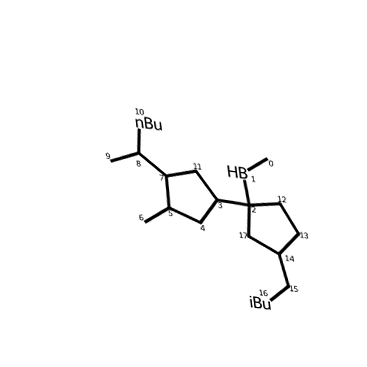 CBC1(C2CC(C)C(C(C)CCCC)C2)CCC(CC(C)CC)C1